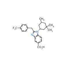 CC1CC(n2c(Cc3ccc(C(F)(F)F)cc3)nc3cc(C(=O)O)ccc32)CC(C)(C)C1